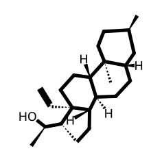 C=C[C@]12CC[C@H]3[C@@H](CC[C@H]4C[C@H](C)CC[C@@]43C)[C@@H]1CC[C@@H]2[C@@H](C)O